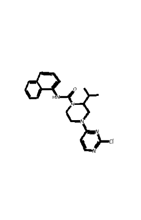 CC(C)C1CN(c2ccnc(Cl)n2)CCN1C(=O)Nc1cccc2ccccc12